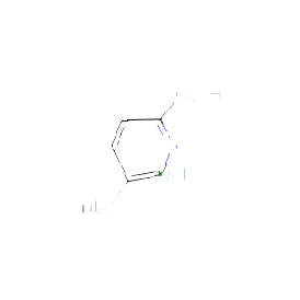 CCCCc1ccc(C(=O)O)nc1.Cl